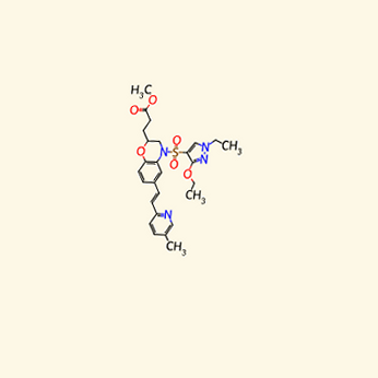 CCOc1nn(CC)cc1S(=O)(=O)N1CC(CCC(=O)OC)Oc2ccc(C=Cc3ccc(C)cn3)cc21